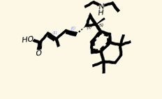 CC(/C=C/[C@@H]1C[C@]1(C)c1ccc2c(c1)C(C)(C)CCC2(C)C)=C\C(=O)O.CCNCC